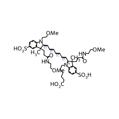 COCCNC(=O)CCC1(C)C(/C=C/C=C/C=C/C=C2/N(CCOC)c3ccc(S(=O)(=O)O)cc3C2(C)CCC(=O)NCCOC)=[N+](CCCCCC(=O)O)c2ccc(S(=O)(=O)O)cc21